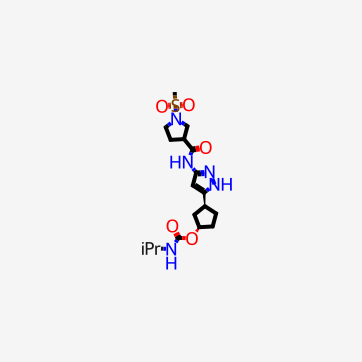 CC(C)NC(=O)O[C@@H]1CC[C@H](c2cc(NC(=O)C3CCN(S(C)(=O)=O)C3)n[nH]2)C1